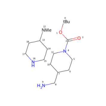 CC(C)(C)OC(=O)N1CCC(CN)CC1.CNC1CCNCC1